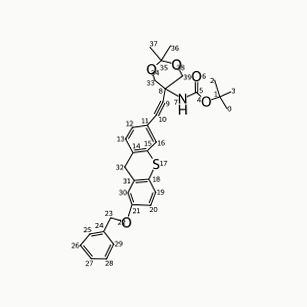 CC(C)(C)OC(=O)NC1(C#Cc2ccc3c(c2)Sc2ccc(OCc4ccccc4)cc2C3)COC(C)(C)OC1